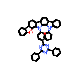 c1ccc(-c2nc(-c3ccccc3)nc(-c3ccc(-n4c5c(ccc6c7ccccc7oc65)c5ccc6c7ccccc7n(-c7ccccc7)c6c54)cc3)n2)cc1